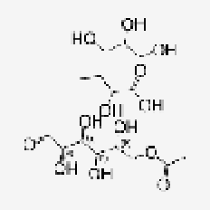 CC(=O)OC[C@@H](O)[C@@H](O)[C@H](O)[C@@H](O)C=O.CCC(O)C(=O)O.OCC(O)CO